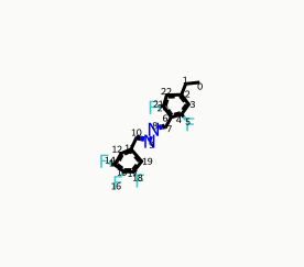 CCc1cc(F)c(/C=N/N=C/c2cc(F)c(F)c(F)c2)c(F)c1